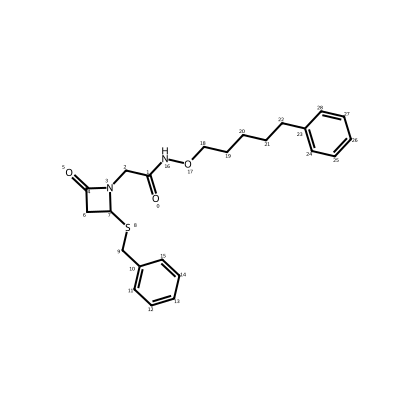 O=C(CN1C(=O)CC1SCc1ccccc1)NOCCCCCc1ccccc1